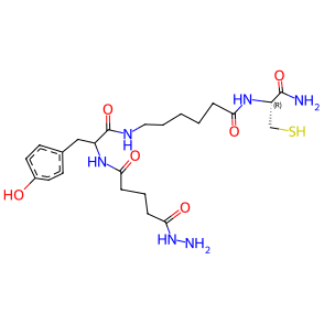 NNC(=O)CCCC(=O)NC(Cc1ccc(O)cc1)C(=O)NCCCCCC(=O)N[C@@H](CS)C(N)=O